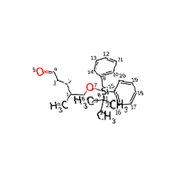 CC(CCC=O)CO[Si](c1ccccc1)(c1ccccc1)C(C)(C)C